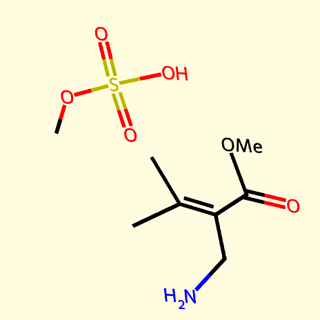 COC(=O)C(CN)=C(C)C.COS(=O)(=O)O